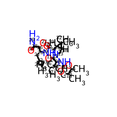 CC(C)C(C)OC(=O)N[C@H](C(=O)N1C[C@H]2[C@@H]([C@H]1C(=O)N[C@@H](CC1CCC1)C(=O)C(N)=O)C2(C)C)C(C)(C)C